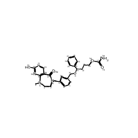 CN1CCN(c2cccc(CO[C@H](CCCOC(N)=O)c3ccccc3)c2)C(=O)c2cnc(O)nc21